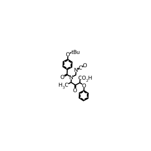 CC(C(=O)C(Oc1ccccc1)C(=O)O)N(CN=C=O)C(=O)c1ccc(OC(C)(C)C)cc1